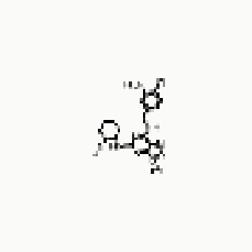 CC(C)n1nnc2c(NCc3ccc(Cl)c(N)c3)nc(NC3CCCCC3N)nc21